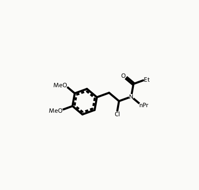 CCCN(C(=O)CC)C(Cl)Cc1ccc(OC)c(OC)c1